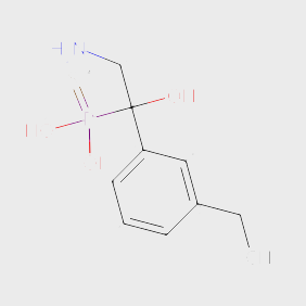 CCc1cccc(C(O)(CN)P(O)(O)=S)c1